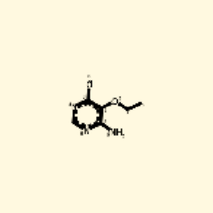 CCOc1c(N)ncnc1Cl